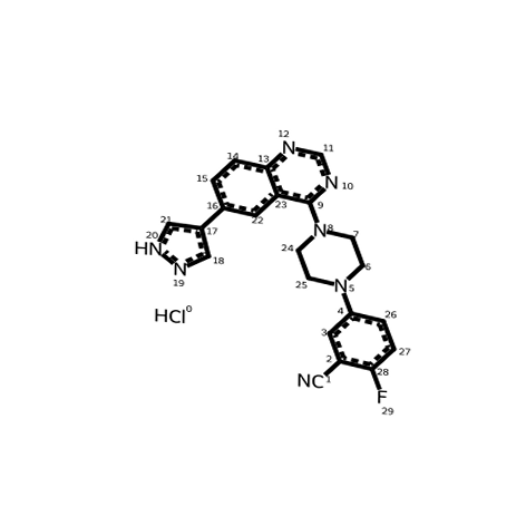 Cl.N#Cc1cc(N2CCN(c3ncnc4ccc(-c5cn[nH]c5)cc34)CC2)ccc1F